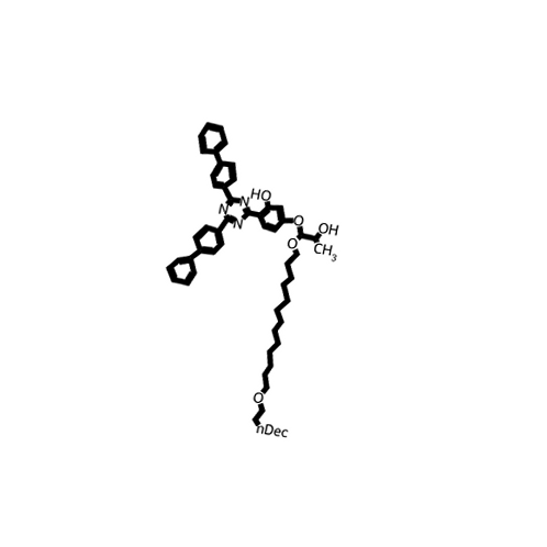 CCCCCCCCCCCCOCCCCCCCCCCCCCOC(Oc1ccc(-c2nc(-c3ccc(-c4ccccc4)cc3)nc(-c3ccc(-c4ccccc4)cc3)n2)c(O)c1)C(C)O